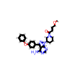 COC/C=C/C(=O)N1CCC[C@@H](n2nc(-c3ccc(Oc4ccccc4)cc3)c3c(N)ncnc32)C1